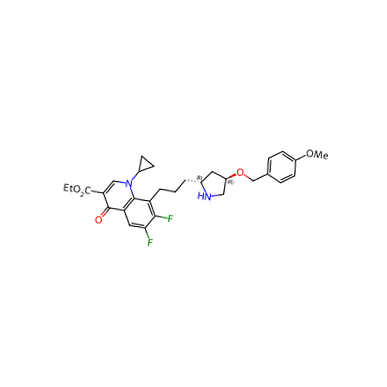 CCOC(=O)c1cn(C2CC2)c2c(CCC[C@@H]3C[C@@H](OCc4ccc(OC)cc4)CN3)c(F)c(F)cc2c1=O